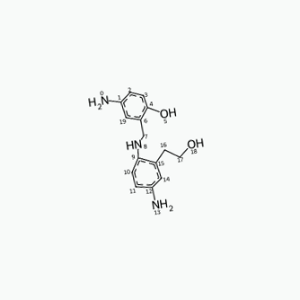 Nc1ccc(O)c(CNc2ccc(N)cc2CCO)c1